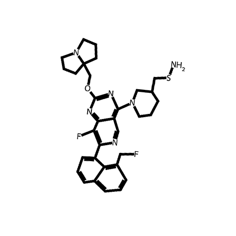 NSCC1CCCN(c2nc(OCC34CCCN3CCC4)nc3c(F)c(-c4cccc5cccc(CF)c45)ncc23)C1